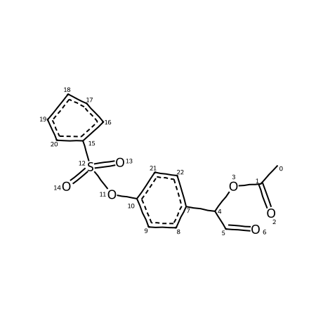 CC(=O)OC(C=O)c1ccc(OS(=O)(=O)c2ccccc2)cc1